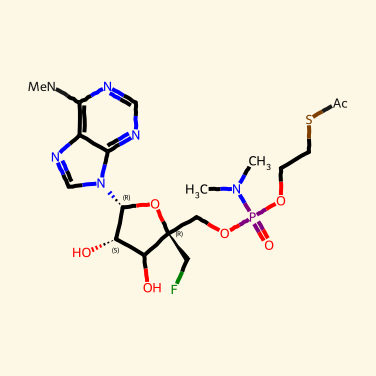 CNc1ncnc2c1ncn2[C@@H]1O[C@](CF)(COP(=O)(OCCSC(C)=O)N(C)C)C(O)[C@@H]1O